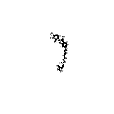 Cc1nnsc1CNCCCCCCOc1ccc2c(c1)CN(C1CCC(=O)NC1=O)C2=O